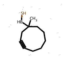 CC1(BS)CC#CCCCCC1